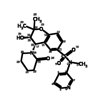 CN(c1cccnc1)S(=O)(=O)c1ccc2c(c1)[C@H](N1CCCCC1=O)[C@@H](O)C(C)(C)O2